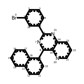 Brc1cccc(-c2nc(-c3cccc4ccccc34)c3ncccc3n2)c1